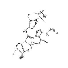 Cc1n[nH]c(C)c1-c1ncc(NC(=O)CC2c3ccc(F)c(F)c3OCC23CC3CC(C)n2nccc2C(N)=O)cc1F